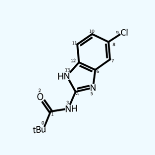 CC(C)(C)C(=O)Nc1nc2cc(Cl)ccc2[nH]1